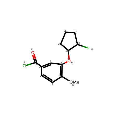 COc1ccc(C(=O)Cl)cc1OC1CCCC1F